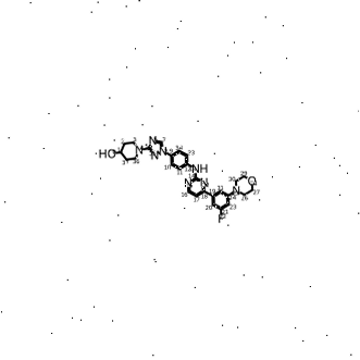 OC1CCN(c2ncn(-c3ccc(Nc4nccc(-c5cc(F)cc(N6CCOCC6)c5)n4)cc3)n2)CC1